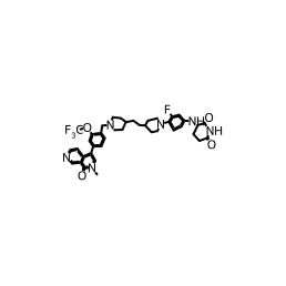 Cn1cc(-c2ccc(CN3CCC(CCC4CCN(c5ccc(NC6CCC(=O)NC6=O)cc5F)CC4)CC3)c(OC(F)(F)F)c2)c2ccncc2c1=O